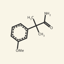 COc1cccc(C(C)(C)C(N)=O)c1